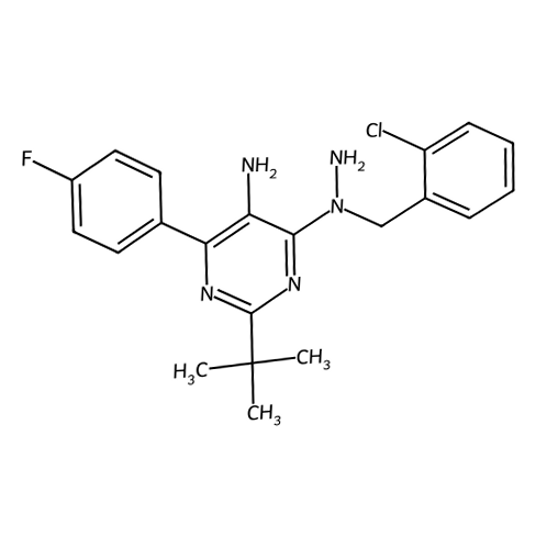 CC(C)(C)c1nc(-c2ccc(F)cc2)c(N)c(N(N)Cc2ccccc2Cl)n1